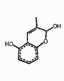 CC1=Cc2c(O)cccc2OC1O